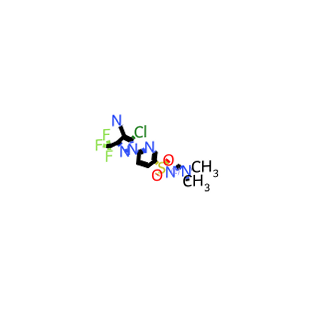 CN(C)/C=N/S(=O)(=O)c1ccc(-n2nc(C(F)(F)F)c(C#N)c2Cl)nc1